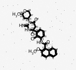 COc1ccc2ccccc2c1C(=O)Nc1cccc([C@]2(C)CC(=O)N([C@@H]3CCO[C@H](C)C3)C(=N)N2)c1Cl